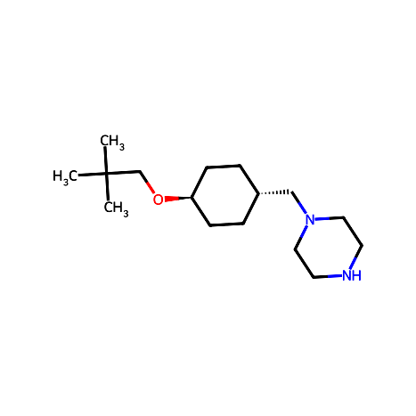 CC(C)(C)CO[C@H]1CC[C@H](CN2CCNCC2)CC1